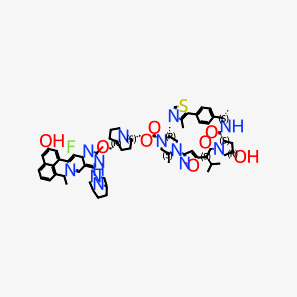 CCc1cccc2cc(O)cc(-c3ncc4c(N5CC6CCC(C5)N6)nc(OC[C@]56CCCN5[C@H](COC(=O)N5C[C@H](C)N(c7cc([C@@H](C(=O)N8C[C@H](O)C[C@H]8C(=O)N[C@@H](C)c8ccc(-c9scnc9C)cc8)C(C)C)on7)C[C@H]5C)CC6)nc4c3F)c12